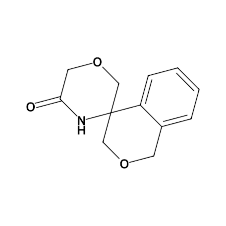 O=C1COCC2(COCc3ccccc32)N1